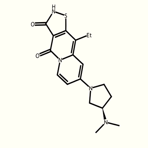 CCc1c2s[nH]c(=O)c2c(=O)n2ccc(N3CC[C@@H](N(C)C)C3)cc12